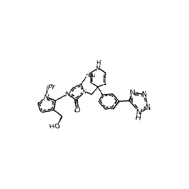 CCCCc1cn(-c2c(CO)ccn2C(C)C)c(=O)n1CC1(c2cccc(-c3nnn[nH]3)c2)C=CNC=C1